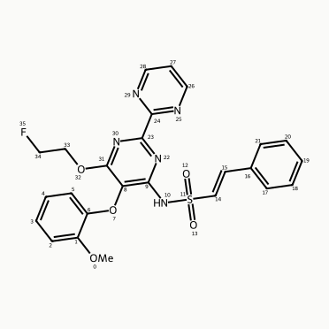 COc1ccccc1Oc1c(NS(=O)(=O)C=Cc2ccccc2)nc(-c2ncccn2)nc1OCCF